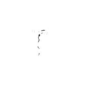 C=CCOCCOCCCC#C[Si](C)(C)CCC(F)(F)F